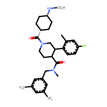 Cc1cc(F)ccc1C1CN(C(=O)[C@H]2CC[C@H](NC(=O)O)CC2)CCC1C(=O)N(C)Cc1cc(C(F)(F)F)cc(C(F)(F)F)c1